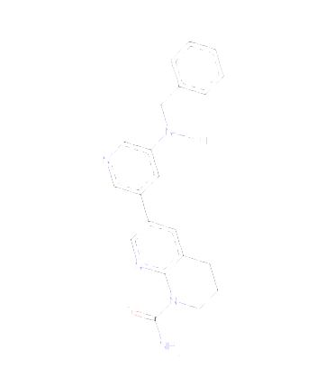 CN(Cc1ccccc1)c1cncc(-c2cnc3c(c2)CCCN3C(N)=O)c1